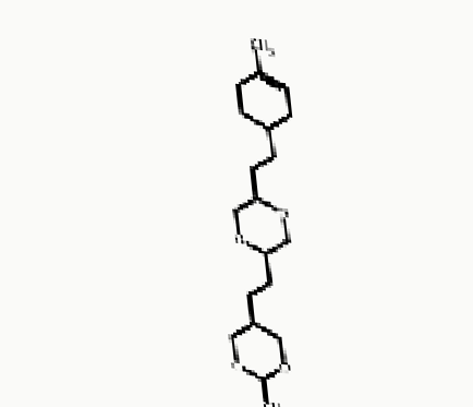 CC1=CCC(CCC2COC(CCC3COC(C)OC3)CO2)CC1